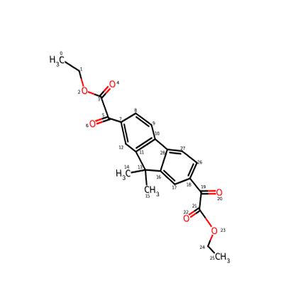 CCOC(=O)C(=O)c1ccc2c(c1)C(C)(C)c1cc(C(=O)C(=O)OCC)ccc1-2